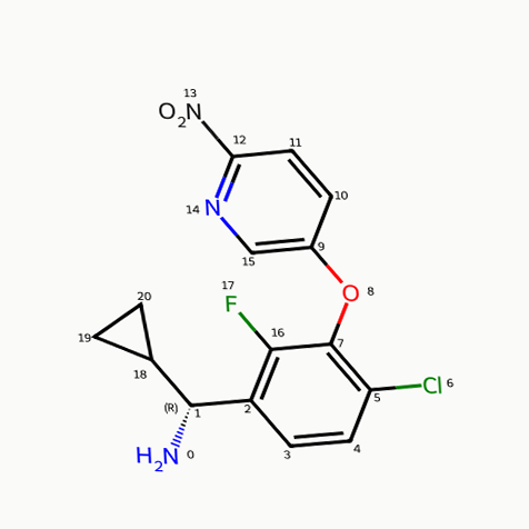 N[C@@H](c1ccc(Cl)c(Oc2ccc([N+](=O)[O-])nc2)c1F)C1CC1